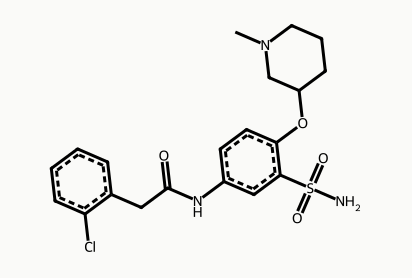 CN1CCCC(Oc2ccc(NC(=O)Cc3ccccc3Cl)cc2S(N)(=O)=O)C1